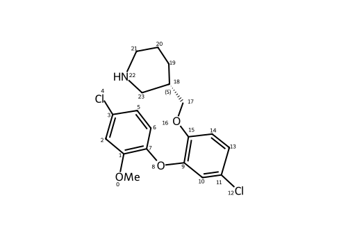 COc1cc(Cl)ccc1Oc1cc(Cl)ccc1OC[C@H]1CCCNC1